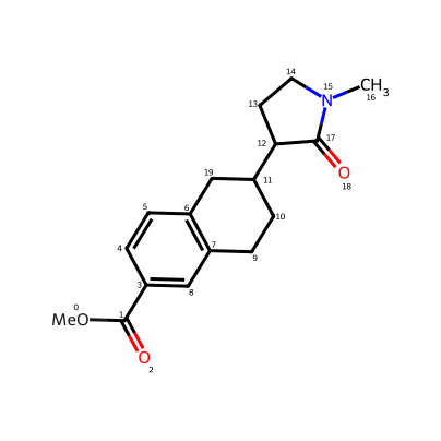 COC(=O)c1ccc2c(c1)CCC(C1CCN(C)C1=O)C2